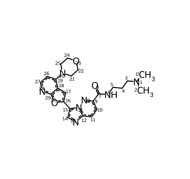 CN(C)CCCNC(=O)c1ccc2ncc(-c3cc4c(N5CCOCC5)ccnc4o3)n2n1